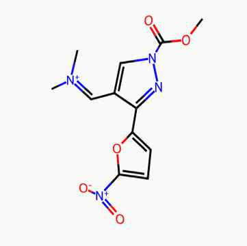 COC(=O)n1cc(C=[N+](C)C)c(-c2ccc([N+](=O)[O-])o2)n1